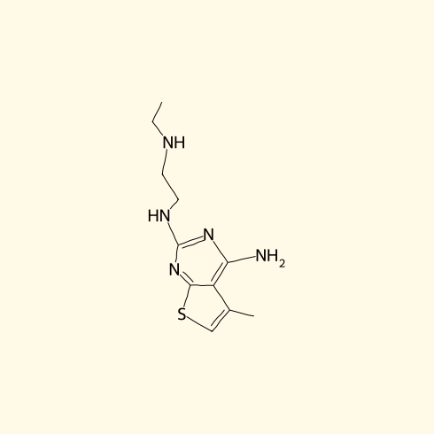 CCNCCNc1nc(N)c2c(C)csc2n1